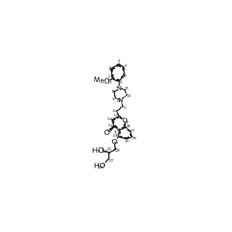 COc1ccccc1N1CCN(CCc2cc(=O)c3c(OCC(O)CO)cccc3o2)CC1